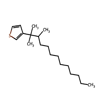 CCCCCCCCCCC(C)C(C)(C)c1ccsc1